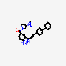 CN(C)[C@@H]1CCN(C(=O)c2ccc3[nH]nc(C#Cc4ccc(-c5ccccc5)cc4)c3c2)C1